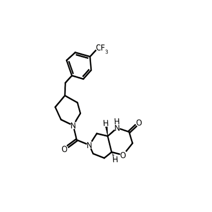 O=C1CO[C@H]2CCN(C(=O)N3CCC(Cc4ccc(C(F)(F)F)cc4)CC3)C[C@@H]2N1